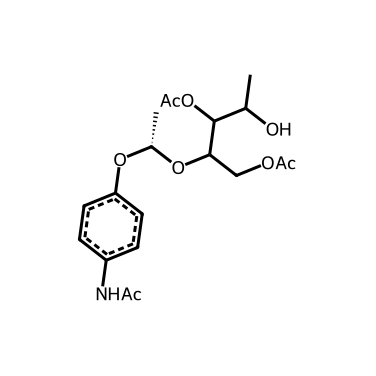 CC(=O)Nc1ccc(O[C@H](C)OC(COC(C)=O)C(OC(C)=O)C(C)O)cc1